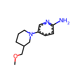 COCC1CCCN(c2ccc(N)nc2)C1